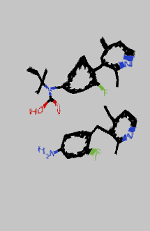 Cc1ccnc(C)c1-c1ccc(N(C(=O)O)C(C)(C)C)cc1F.Cc1ccnc(C)c1-c1ccc(N)cc1F